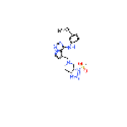 COc1cccc(Nc2ncnn3ccc(CN4CC[C@@H](N)[C@@H](NS(C)(=O)=O)C4)c23)c1